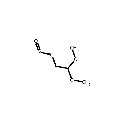 COC(COP=O)OC